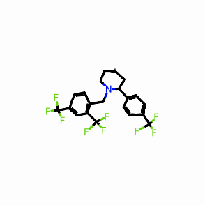 FC(F)(F)c1ccc(C2C[CH]CCN2Cc2ccc(C(F)(F)F)cc2C(F)(F)F)cc1